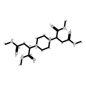 COC(=O)CC(C(=O)OC)N1CCN(C(CC(=O)OC)C(=O)OC)CC1